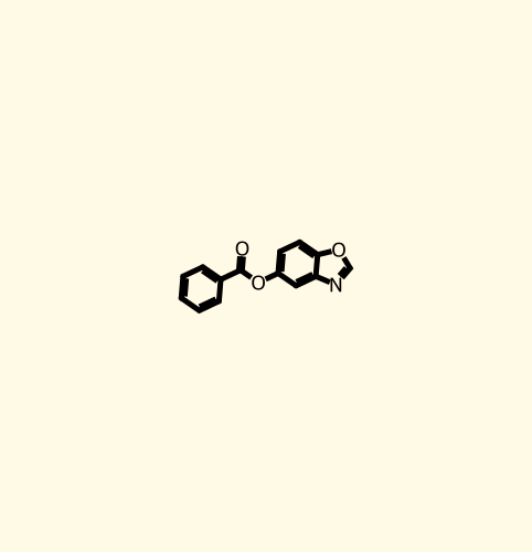 O=C(Oc1ccc2ocnc2c1)c1ccccc1